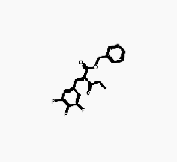 CCC(=O)/C(=C\c1cc(F)c(F)c(F)c1)C(=O)OCc1ccccc1